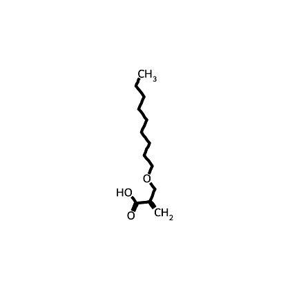 C=C(COCCCCCCCCC)C(=O)O